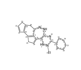 CCn1[nH]c2c3c4c(n[nH]c=2nc1-c1ccccc1)CC1=C(C=CC1)C=4CC=3